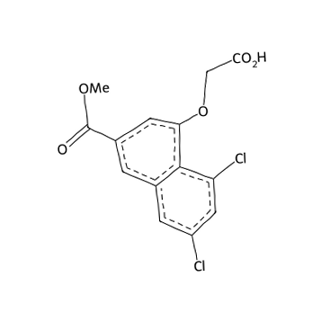 COC(=O)c1cc(OCC(=O)O)c2c(Cl)cc(Cl)cc2c1